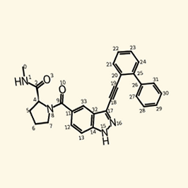 CNC(=O)[C@@H]1CCCN1C(=O)c1ccc2[nH]nc(C#Cc3ccccc3-c3ccccc3)c2c1